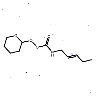 CC/C=C/CNC(=O)OOC1CCCCO1